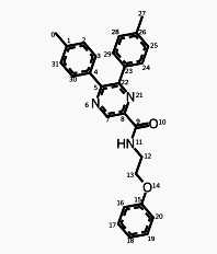 Cc1ccc(-c2ncc(C(=O)NCCOc3ccccc3)nc2-c2ccc(C)cc2)cc1